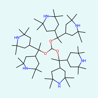 CC1(C)CC(C(C)(OC(OC(C)(C2CC(C)(C)NC(C)(C)C2)C2CC(C)(C)NC(C)(C)C2)OC(C)(C2CC(C)(C)NC(C)(C)C2)C2CC(C)(C)NC(C)(C)C2)C2CC(C)(C)NC(C)(C)C2)CC(C)(C)N1